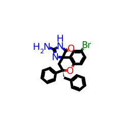 NC1=NC2(C[C@](Cc3ccccc3)(c3ccccc3)Oc3ccc(Br)cc32)C(=O)N1